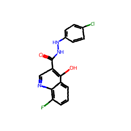 O=C(NNc1ccc(Cl)cc1)c1cnc2c(F)cccc2c1O